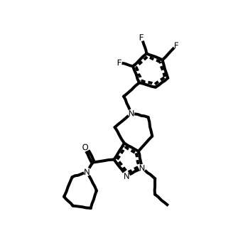 CCCn1nc(C(=O)N2CCCCC2)c2c1CCN(Cc1ccc(F)c(F)c1F)C2